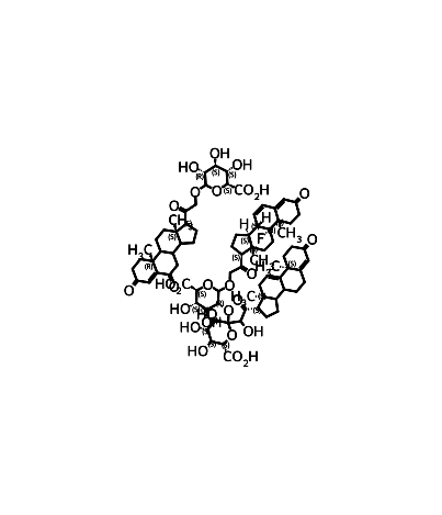 C[C@]12CCC(=O)C=C1C(=O)CC1C2CC[C@@]2(C)C1CC[C@@H]2C(=O)COC1O[C@H](C(=O)O)[C@@H](O)[C@H](O)[C@H]1O.C[C@]12CCC(=O)C=C1CCC1C2=CC[C@@]2(C)C1CC[C@@H]2C(=O)C(O)C1(O[C@H]2C(OCC(=O)[C@H]3CC[C@H]4[C@@H]5C=CC6=CC(=O)CC[C@]6(C)[C@@]5(F)CC[C@]34C)O[C@H](C(=O)O)[C@@H](O)[C@@H]2O)O[C@H](C(=O)O)[C@@H](O)[C@H](O)[C@H]1O